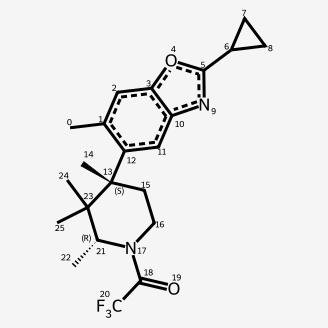 Cc1cc2oc(C3CC3)nc2cc1[C@]1(C)CCN(C(=O)C(F)(F)F)[C@H](C)C1(C)C